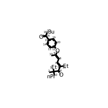 CCCC(C)(CC)C(=O)/C(=C/C=C(\C)Oc1ccc(C(=O)C(C)CC)cc1)CC